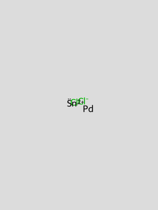 [Cl-].[Cl-].[Pd].[Sn+2]